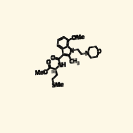 COC(=O)[C@H](CCSC)NC(=O)c1c(C)n(CCN2CCOCC2)c2c(OC)cccc12